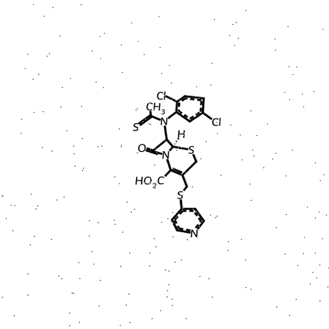 CC(=S)N(c1cc(Cl)ccc1Cl)C1C(=O)N2C(C(=O)O)=C(CSc3ccncc3)CS[C@H]12